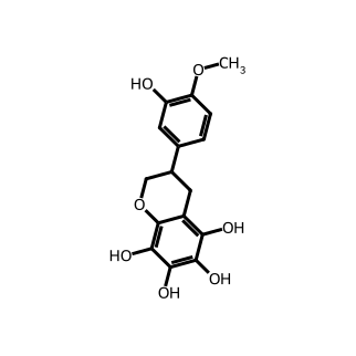 COc1ccc(C2COc3c(O)c(O)c(O)c(O)c3C2)cc1O